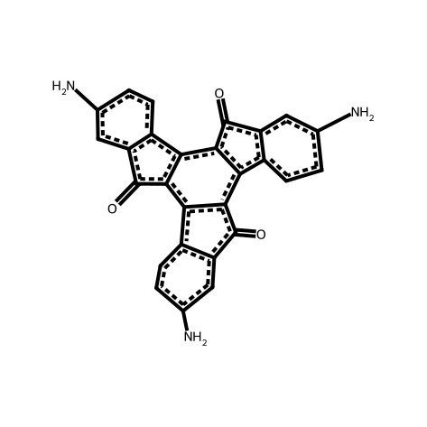 Nc1ccc2c(c1)c(=O)c1c2c2c(=O)c3cc(N)ccc3c2c2c(=O)c3cc(N)ccc3c12